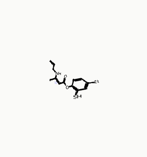 C=CCN/C(C)=C\C(=O)Oc1ccc(CC)cc1S